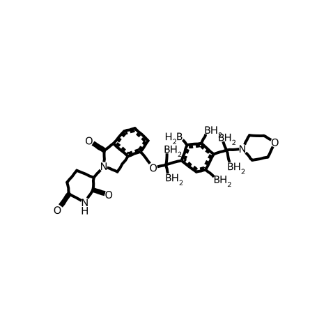 Bc1cc(C(B)(B)Oc2cccc3c2CN(C2CCC(=O)NC2=O)C3=O)c(B)c(B)c1C(B)(B)N1CCOCC1